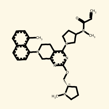 C=CC(=O)N(C)C1CCN(c2nc(OC[C@@H]3CCCN3C)nc3c2CCN(c2cccc4cccc(C)c24)C3)C1